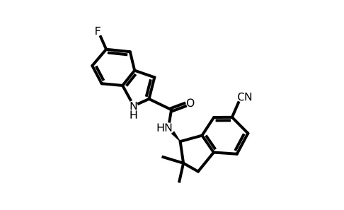 CC1(C)Cc2ccc(C#N)cc2[C@@H]1NC(=O)c1cc2cc(F)ccc2[nH]1